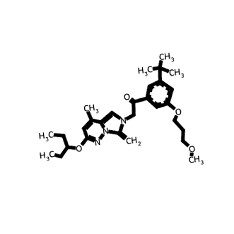 C=C1N(CC(=O)c2cc(OCCCOC)cc(C(C)(C)C)c2)C=C2C(C)=CC(OC(CC)CC)=NN12